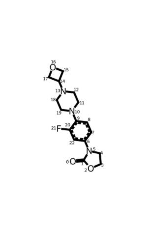 O=C1OCCN1c1ccc(N2CCN(C3COC3)CC2)c(F)c1